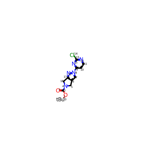 CC(C)(C)OC(=O)N1Cc2cn(-c3ccnc(Cl)n3)nc2C1